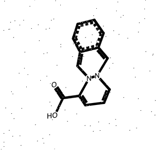 O=C(O)C1=CC=CN2C=c3ccccc3=CN12